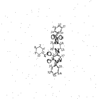 O=c1c(OCC2CCCCC2)c(N2CCN(S(=O)(=O)c3ccccc3)CC2)cnn1-c1ccccc1